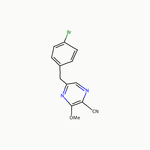 COc1nc(Cc2ccc(Br)cc2)cnc1C#N